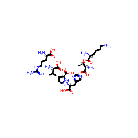 CC(C)[C@H](N)C(=O)O.C[C@@H](OC(=O)[C@@H](N)CCCCN)[C@H](N)C(=O)O.N=C(N)NCCC[C@H](N)C(=O)O.N[C@@H](Cc1c[nH]cn1)C(=O)O.O=C(O)[C@@H]1CCCN1